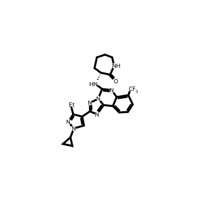 CCc1nn(C2CC2)cc1-c1nc2c3cccc(C(F)(F)F)c3nc(N[C@@H]3CCCCNC3=O)n2n1